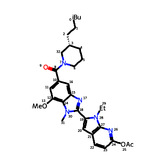 CCC(C)CC[C@@H]1CCCN(C(=O)c2cc(OC)c3c(c2)nc(-c2cc4ccc(OC(C)=O)nc4n2CC)n3C)C1